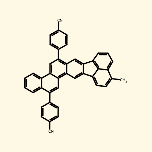 Cc1ccc2c3c(cccc13)-c1cc3c(-c4ccc(C#N)cc4)cc4c5ccccc5c(-c5ccc(C#N)cc5)cc4c3cc1-2